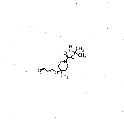 CC(C)(C)OC(=O)N1CCC(C)(OCCC=O)CC1